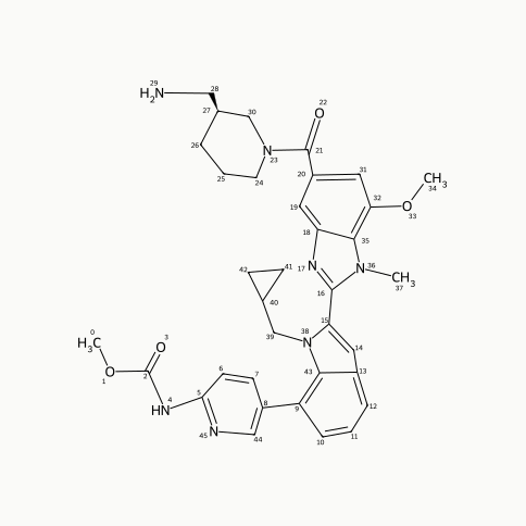 COC(=O)Nc1ccc(-c2cccc3cc(-c4nc5cc(C(=O)N6CCC[C@@H](CN)C6)cc(OC)c5n4C)n(CC4CC4)c23)cn1